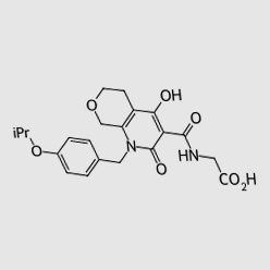 CC(C)Oc1ccc(Cn2c3c(c(O)c(C(=O)NCC(=O)O)c2=O)CCOC3)cc1